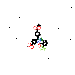 COC(=O)c1ccc2c(C3=CCC(C(=O)OC(C)(C)C)CC3)nn(C(=O)c3c(Cl)cccc3C(F)(F)F)c2c1